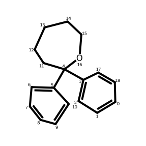 c1ccc(C2(c3ccccc3)CCCCCO2)cc1